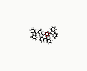 c1ccc(C23c4ccccc4C(c4cccc(-n5c6ccccc6c6ccccc65)c4)(c4ccccc42)c2ccc(-n4c5ccccc5c5ccccc54)cc23)cc1